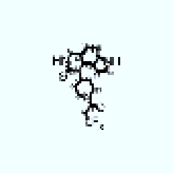 O=C(CC(F)(F)F)N1CCC(N2C(=O)NCc3cnc4[nH]ccc4c32)CC1